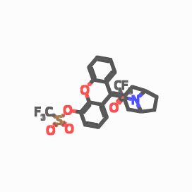 O=C(N1C2CCC1CC(=C1c3ccccc3Oc3c(OS(=O)(=O)C(F)(F)F)cccc31)C2)C(F)(F)F